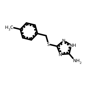 Cc1ccc(CSc2n[nH]c(N)n2)cc1